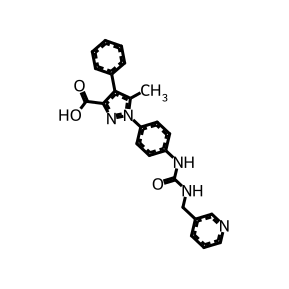 Cc1c(-c2ccccc2)c(C(=O)O)nn1-c1ccc(NC(=O)NCc2cccnc2)cc1